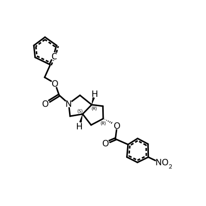 O=C(O[C@@H]1C[C@@H]2CN(C(=O)OCc3ccccc3)C[C@@H]2C1)c1ccc([N+](=O)[O-])cc1